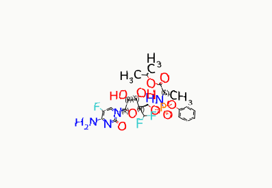 CC(C)OC(=O)[C@H](C)NP(=O)(OC[C@@]1(C(F)F)O[C@@H](n2cc(F)c(N)nc2=O)[C@H](O)[C@@H]1O)Oc1ccccc1